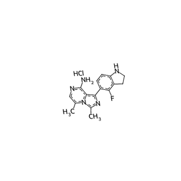 Cc1cnc(N)c2c(-c3ccc4c(c3F)CCN4)nc(C)n12.Cl